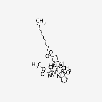 CCCCCCCCCCCCOC(=O)c1ccc(Cl)c(NC(=O)C(c2nc3ccccc3c(=O)n2C)n2nnc(C(=O)OCC)c2C)c1